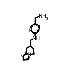 NCc1ccc(NCC2CCn3ccnc3C2)nc1